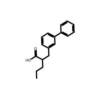 CCCC(Cc1cccc(-c2ccccc2)c1)C(=O)O